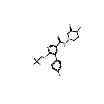 CN1CCN(NC(=O)c2cnc(OCC(F)(F)F)c(-c3ccc(Cl)cc3)c2)CC1=O